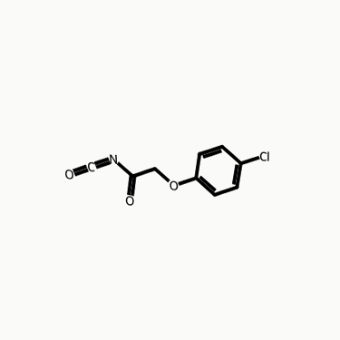 O=C=NC(=O)COc1ccc(Cl)cc1